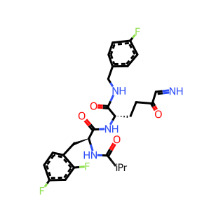 CC(C)C(=O)N[C@@H](Cc1ccc(F)cc1F)C(=O)N[C@@H](CCC(=O)C=N)C(=O)NCc1ccc(F)cc1